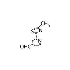 Cc1csc(-c2cc(C=O)ccn2)n1